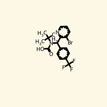 CC(C)(C)N(C(=O)O)C(c1ccc(C(F)(F)F)cc1)c1ncccc1Br